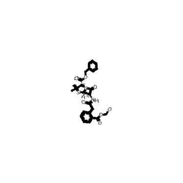 CC1(C)S[C@@H]2[C@H](NC(=O)Cc3ccccc3C(=O)OCCl)C(=O)N2[C@H]1C(=O)OCc1ccccc1